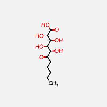 CCCCCC(=O)[C@H](O)[C@@H](O)[C@H](O)[C@H](O)C(=O)O